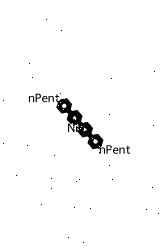 CCCCCC1CCC(c2ccc(-c3ccc(C4CCC(CCCCC)CC4)cc3N)cc2)CC1